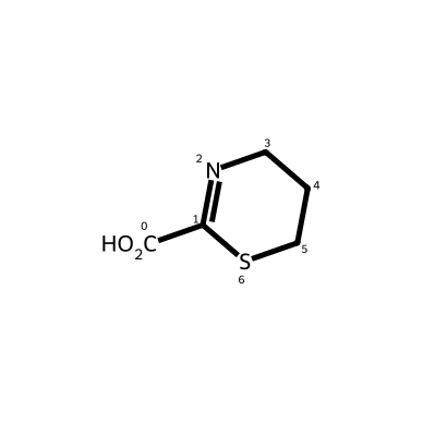 O=C(O)C1=NCCCS1